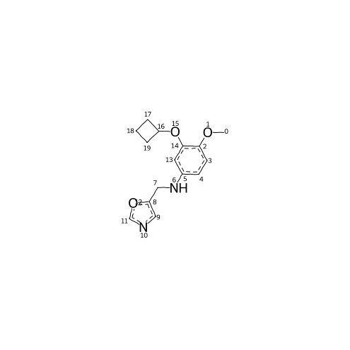 COc1ccc(NCc2cnco2)cc1OC1CCC1